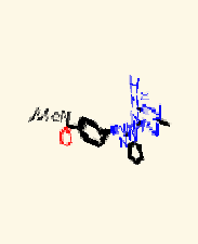 CNC(=O)c1ccc(Nc2nc3ccccc3n2-c2nc(C)nc(N)n2)cc1